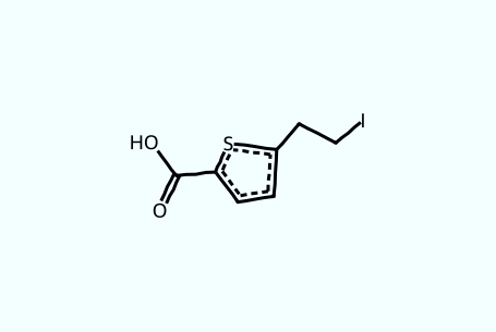 O=C(O)c1ccc(CCI)s1